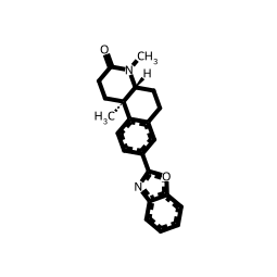 CN1C(=O)CC[C@]2(C)c3ccc(-c4nc5ccccc5o4)cc3CC[C@@H]12